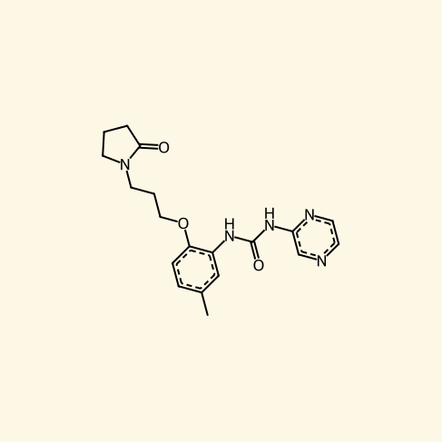 Cc1ccc(OCCCN2CCCC2=O)c(NC(=O)Nc2cnccn2)c1